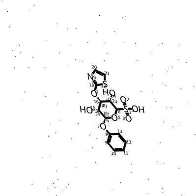 O=S(=O)(O)C1O[C@@H](Oc2ccccc2)[C@H](O)[C@@H](Oc2nccs2)[C@@H]1O